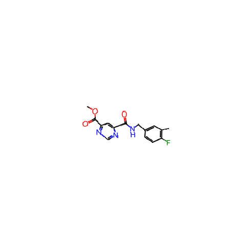 COC(=O)c1cc(C(=O)NCc2ccc(F)c(C)c2)ncn1